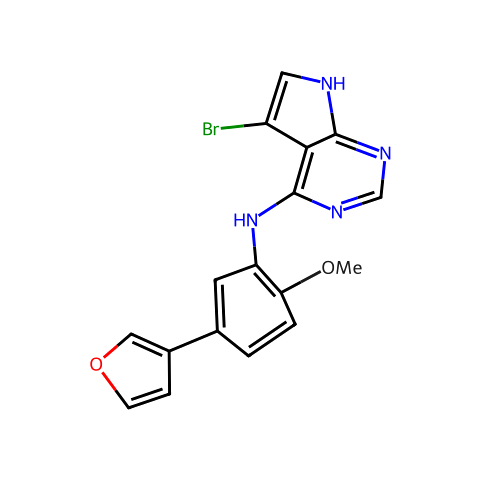 COc1ccc(-c2ccoc2)cc1Nc1ncnc2[nH]cc(Br)c12